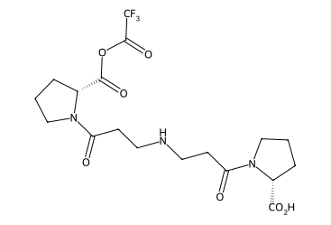 O=C(O)[C@H]1CCCN1C(=O)CCNCCC(=O)N1CCC[C@@H]1C(=O)OC(=O)C(F)(F)F